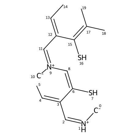 [CH2-]\[NH+]=C/C(=C/C)C(/S)=C\[N+]([CH2-])=C/C(=C/C)C(S)=C(C)C